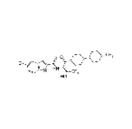 CN1CCC(N2CCN(C(=O)[C@@H](CC(F)(F)F)NC(=O)c3cc4cc(Cl)ccc4[nH]3)CC2)CC1.Cl